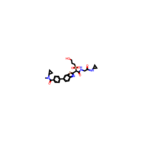 CN(C(=O)c1ccc(-c2ccc3nc(C(C(=O)NCC(=O)NC4CC4)S(=O)(=O)CCCO)sc3c2)cc1)C1CC1